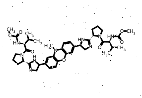 COC(=O)N[C@H](C(=O)N1CCC[C@H]1C1=NCC(c2ccc3c(c2)Oc2ccc(C4CN=C([C@@H]5CCCN5C(=O)[C@@H](NC(=O)OC)C(C)C)N4)cc2N3C)N1)C(C)C